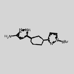 CC(C)(C)n1ccc(C2CCC(c3cc(N)n[nH]3)C2)n1